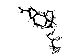 CC(C)c1ccc2c(c1)CCC1C(C)(C(=O)OCC(O)CO)CCCC21C